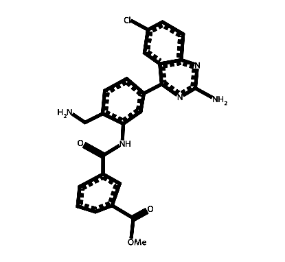 COC(=O)c1cccc(C(=O)Nc2cc(-c3nc(N)nc4ccc(Cl)cc34)ccc2CN)c1